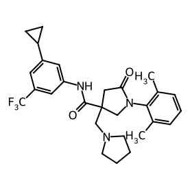 Cc1cccc(C)c1N1CC(CN2CCCC2)(C(=O)Nc2cc(C3CC3)cc(C(F)(F)F)c2)CC1=O